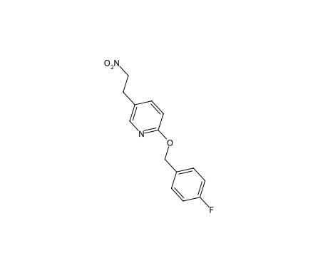 O=[N+]([O-])CCc1ccc(OCc2ccc(F)cc2)nc1